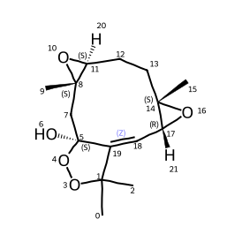 CC1(C)OO[C@@]2(O)C[C@]3(C)O[C@H]3CC[C@]3(C)O[C@@H]3/C=C/12